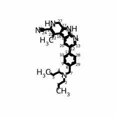 CCCN(CCC)Cc1ccc(-c2cnc3[nH]c4c(c3c2)C(C)=C(C#N)NC4)cc1